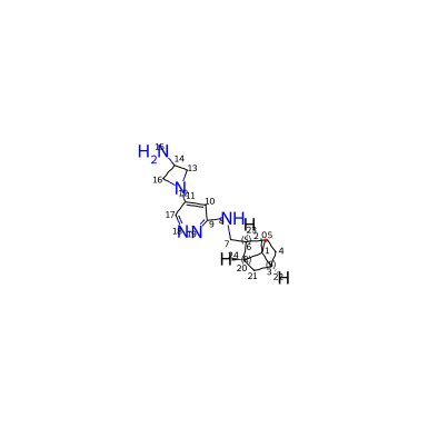 CC1(C)[C@H]2CC[C@H](CNc3cc(N4CC(N)C4)cnn3)[C@H]1C2